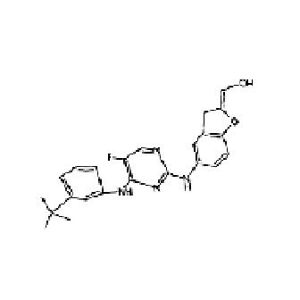 CC(C)(C)c1cccc(Nc2nc(Nc3ccc4c(c3)CC(=CO)O4)ncc2F)c1